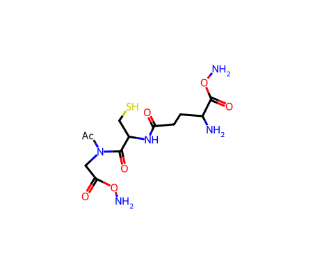 CC(=O)N(CC(=O)ON)C(=O)C(CS)NC(=O)CCC(N)C(=O)ON